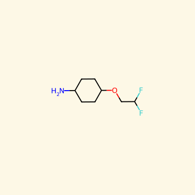 NC1CCC(OCC(F)F)CC1